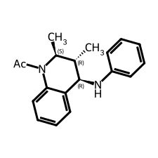 CC(=O)N1c2ccccc2[C@H](Nc2ccccc2)[C@@H](C)[C@@H]1C